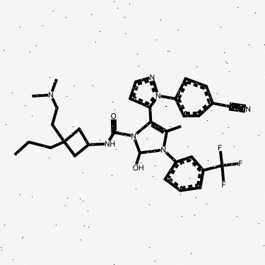 CCCC1(CCN(C)C)CC(NC(=O)N2C(c3ccnn3-c3ccc(C#N)cc3)=C(C)N(c3cccc(C(F)(F)F)c3)C2O)C1